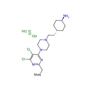 CNCc1nc(Cl)c(Cl)c(N2CCN(CC[C@H]3CC[C@H](N)CC3)CC2)n1.Cl.Cl.Cl